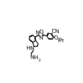 CC(C)Oc1ccc(-c2nc(-c3cccc4c3CCC4NCCN)no2)cc1C#N